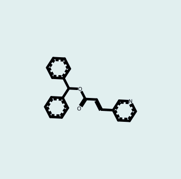 O=C(C=Cc1cccnc1)OC(c1ccccc1)c1ccccc1